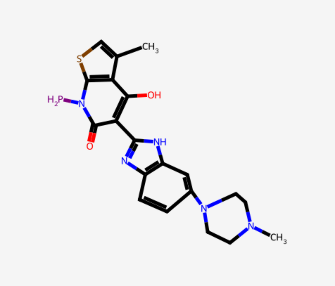 Cc1csc2c1c(O)c(-c1nc3ccc(N4CCN(C)CC4)cc3[nH]1)c(=O)n2P